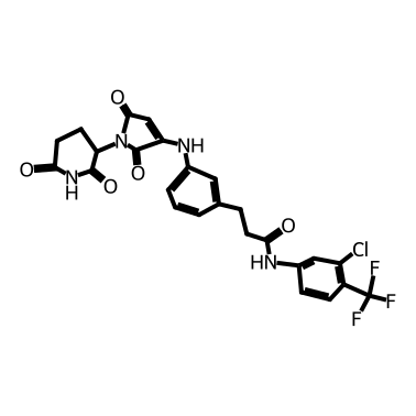 O=C1CCC(N2C(=O)C=C(Nc3cccc(CCC(=O)Nc4ccc(C(F)(F)F)c(Cl)c4)c3)C2=O)C(=O)N1